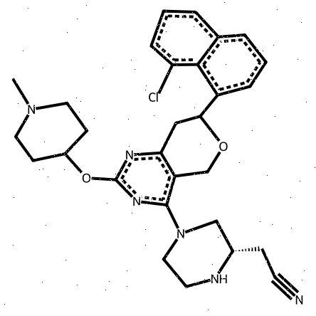 CN1CCC(Oc2nc3c(c(N4CCN[C@@H](CC#N)C4)n2)COC(c2cccc4cccc(Cl)c24)C3)CC1